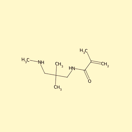 C=C(C)C(=O)NCC(C)(C)CNC